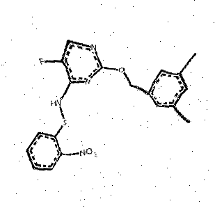 Cc1cc(C)cc(COc2ncc(F)c(NSc3ccccc3[N+](=O)[O-])n2)c1